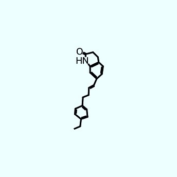 CCc1ccc(CCC=Cc2ccc3c(c2)NC(=O)CC3)cc1